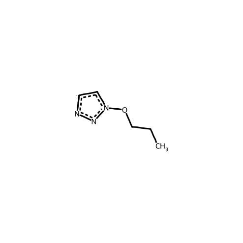 CCCOn1c[c]nn1